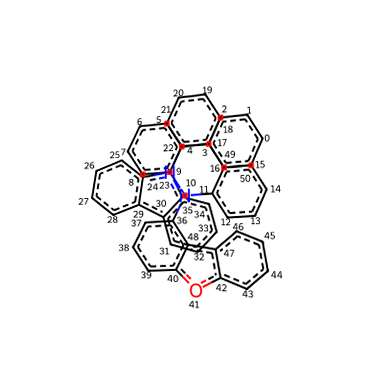 c1ccc(-c2ccccc2N(c2ccccc2-c2ccccc2-n2c3ccccc3c3ccccc32)c2cccc3oc4ccccc4c23)cc1